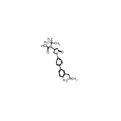 CN(C)Cc1cccc(-c2ccc(N3CC(N(C(=O)O)C(C)(C)C)CC3=O)cc2)c1